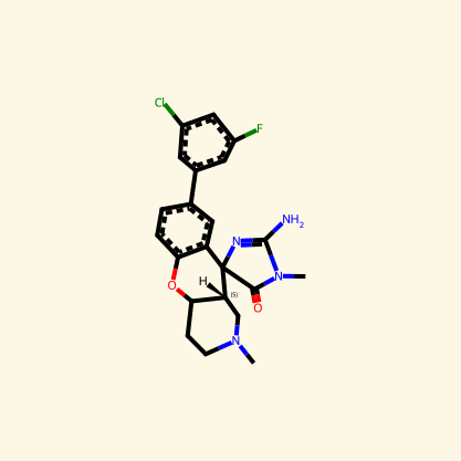 CN1CCC2Oc3ccc(-c4cc(F)cc(Cl)c4)cc3C3(N=C(N)N(C)C3=O)[C@@H]2C1